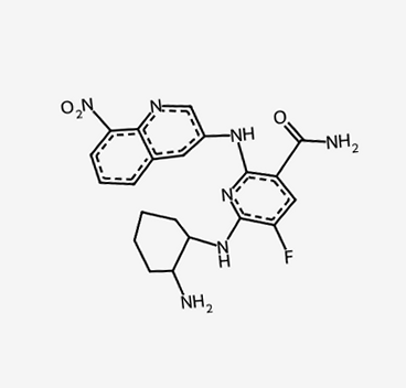 NC(=O)c1cc(F)c(NC2CCCCC2N)nc1Nc1cnc2c([N+](=O)[O-])cccc2c1